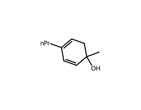 CCCC1=CCC(C)(O)C=C1